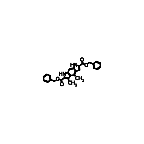 Cc1c(C(=O)OCc2ccccc2)[nH]c2cc3[nH]c(C(=O)OCc4ccccc4)cc3c(C)c12